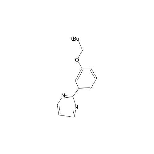 CC(C)(C)COc1cccc(-c2ncccn2)c1